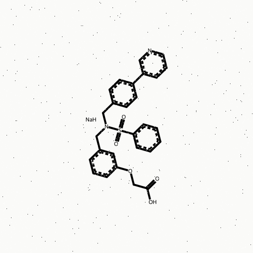 O=C(O)COc1cccc(CN(Cc2ccc(-c3cccnc3)cc2)S(=O)(=O)c2ccccc2)c1.[NaH]